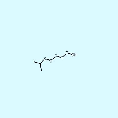 CC(C)SOOOOO